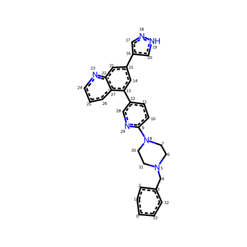 c1ccc(CN2CCN(c3ccc(-c4cc(-c5cn[nH]c5)cc5ncccc45)cn3)CC2)cc1